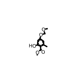 COCOc1cc(C)c(C(=O)OC)c(O)c1